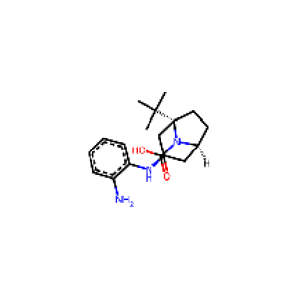 CC(C)(C)[C@@]12CC[C@@H](C[C@@H](Nc3ccccc3N)C1)N2C(=O)O